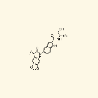 CC(C)(C)C(CO)NC(=O)c1cc2cc(NC(=O)C3(c4ccc5c(c4)OCO5)CC3)ccc2[nH]1